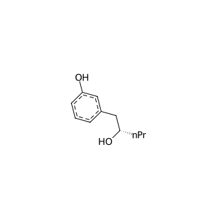 CCC[C@H](O)Cc1cccc(O)c1